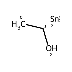 CCO.[Sn]